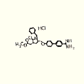 COC(=O)C[C@@H]1C[C@@H](COc2ccc(-c3ccc(C(=N)N)cc3)cc2)N(Cc2ccccc2)C1=O.Cl